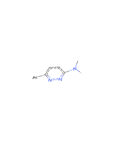 CC(=O)c1ccc(N(C)C)nn1